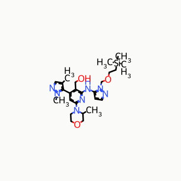 Cc1cnn(C)c1-c1cc(N2CCOCC2C)nc(Nc2ccnn2COCC[Si](C)(C)C)c1CO